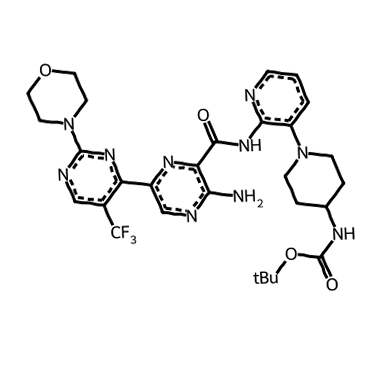 CC(C)(C)OC(=O)NC1CCN(c2cccnc2NC(=O)c2nc(-c3nc(N4CCOCC4)ncc3C(F)(F)F)cnc2N)CC1